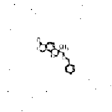 CC1(COCc2ccccc2)COc2c1ccc1c2COC1=O